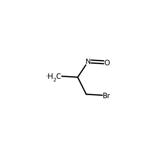 [CH2]C(CBr)N=O